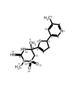 Cc1cncc(C2CC=C([C@]3(C)CS(=O)(=O)N(C)C(=N)N3)S2)c1